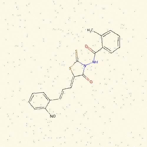 Cc1ccccc1C(=O)NN1C(=O)/C(=C/C=C/c2ccccc2N=O)SC1=S